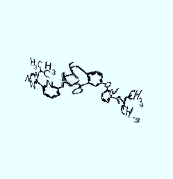 CC(C)n1cnnc1-c1cccc(NC(=O)c2cc(Oc3cccc(N(C)C)n3)ccc2F)n1